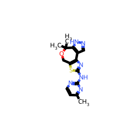 Cc1ccnc(Nc2nc3c(s2)COC(C)(C)c2[nH]ncc2-3)n1